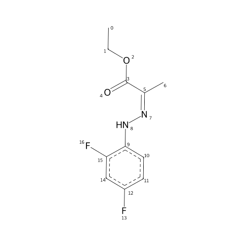 CCOC(=O)C(C)=NNc1ccc(F)cc1F